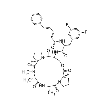 C[C@@H]1NC(=O)[C@H](C)N(C)C(=O)[C@@H]2CCCN2C(=O)[C@@H](NC(=O)[C@H](Cc2cc(F)cc(F)c2)NC(=O)/C=C/C=C/c2ccccc2)COC(=O)[C@@H]2CCCN2C1=O